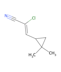 CC1(C)CC1/C=C(\Cl)C#N